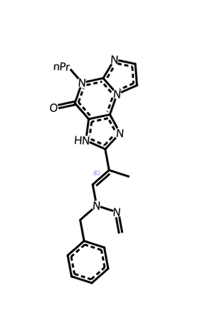 C=NN(/C=C(\C)c1nc2c([nH]1)c(=O)n(CCC)c1nccn21)Cc1ccccc1